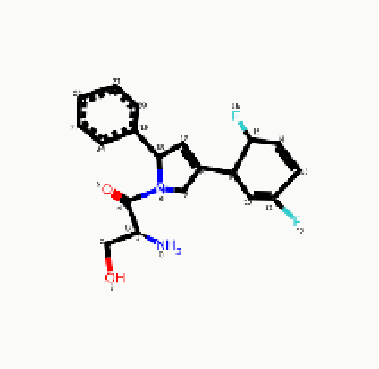 N[C@@H](CO)C(=O)N1CC(C2C=C(F)C=CC2F)=CC1c1ccccc1